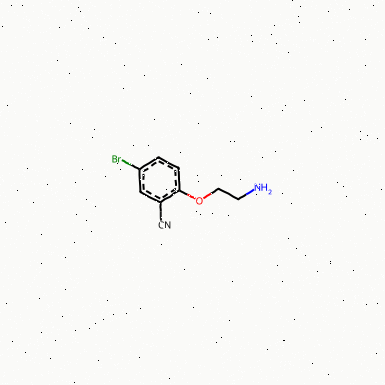 N#Cc1cc(Br)ccc1OCCN